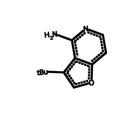 CC(C)(C)c1coc2ccnc(N)c12